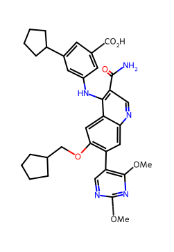 COc1ncc(-c2cc3ncc(C(N)=O)c(Nc4cc(C(=O)O)cc(C5CCCC5)c4)c3cc2OCC2CCCC2)c(OC)n1